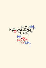 CC(C)C.CC(C)C.COc1cccc(CNC(=O)O)c1.N.NC(=O)O